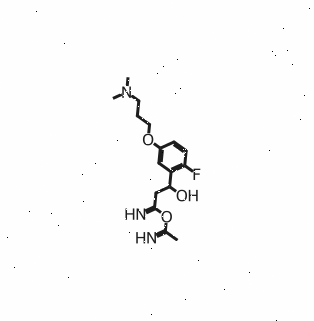 CC(=N)OC(=N)CC(O)c1cc(OCCCN(C)C)ccc1F